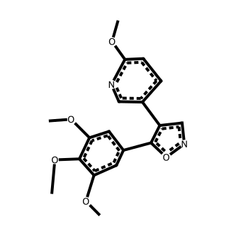 COc1ccc(-c2cnoc2-c2cc(OC)c(OC)c(OC)c2)cn1